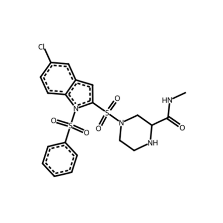 CNC(=O)C1CN(S(=O)(=O)c2cc3cc(Cl)ccc3n2S(=O)(=O)c2ccccc2)CCN1